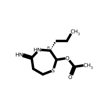 CCC[C@H]1NC(=N)CCSC1OC(C)=O